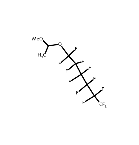 COC(C)OC(F)(F)C(F)(F)C(F)(F)C(F)(F)C(F)(F)C(F)(F)F